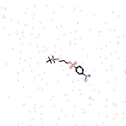 CC(C)(C)[Si](C)(C)OCCCOS(=O)(=O)c1ccc([N+](=O)[O-])cc1